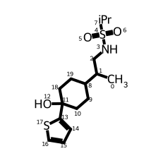 CC(CNS(=O)(=O)C(C)C)C1CCC(O)(c2cccs2)CC1